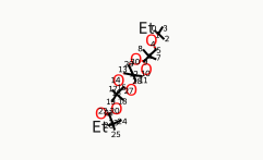 CCC(C)(C)OCC(C)(C)C1OCC2(COC(C(C)(C)COC(=O)C(C)(C)CC)OC2)CO1